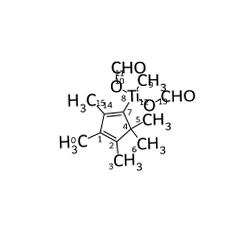 CC1=C(C)C(C)(C)[C]([Ti]([CH3])([O]C=O)[O]C=O)=C1C